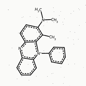 Cc1c(N(C)C)ccc2nc3ccccc3[n+](-c3ccccc3)c12